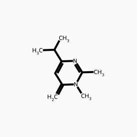 C=C1C=C(C(C)C)N=C(C)N1C